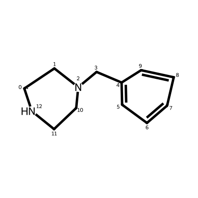 [CH]1CN(Cc2ccccc2)CCN1